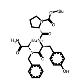 CC[C@H](C)[C@@H](C(N)=O)N(Cc1ccccc1)C(=O)[C@H](Cc1ccc(O)cc1)NC(=O)[C@@H]1CCCN1C(=O)OC(C)(C)C